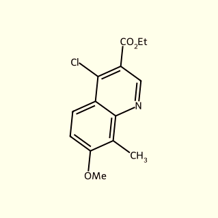 CCOC(=O)c1cnc2c(C)c(OC)ccc2c1Cl